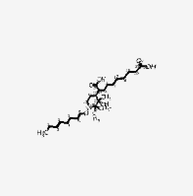 CCCCCCCCON1CCC(C(CCCCCCCC(=O)O)C(=O)O)C(C)(C)C1(C)C